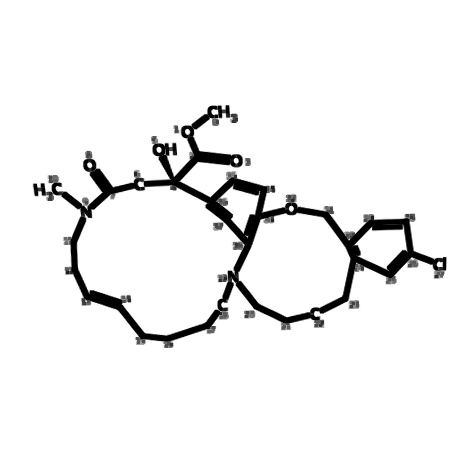 COC(=O)[C@@]1(O)CC(=O)N(C)CC/C=C/CCCCN2CCCCc3cc(Cl)ccc3COc3ccc1cc32